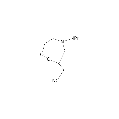 CC(C)N1CCOCC(CC#N)C1